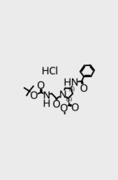 COC(=O)[C@@H]1C[C@H](NC(=O)c2ccccc2)CN1C(=O)CNC(=O)OC(C)(C)C.Cl